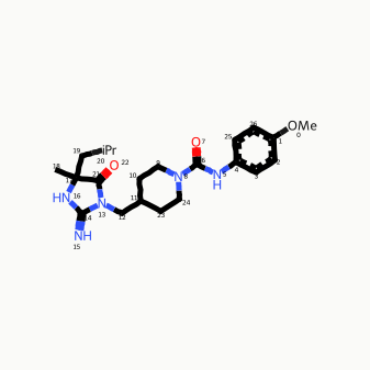 COc1ccc(NC(=O)N2CCC(CN3C(=N)NC(C)(CC(C)C)C3=O)CC2)cc1